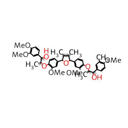 COc1ccc([C@@H](O)[C@@H](C)Oc2ccc(C3OC(c4ccc(O[C@H](C)[C@H](O)c5ccc(OC)c(OC)c5)c(OC)c4)[C@H](C)[C@H]3C)cc2OC)cc1C